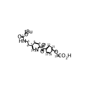 CC(C)(C)OC(=O)NCCc1ccc(S(=O)(=O)c2ccc(OCC(=O)O)cc2)nc1